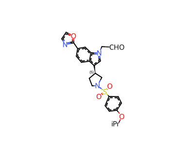 CC(C)Oc1ccc(S(=O)(=O)N2CC[C@@H](c3cn(CC=O)c4cc(-c5ncco5)ccc34)C2)cc1